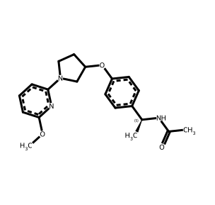 COc1cccc(N2CCC(Oc3ccc([C@H](C)NC(C)=O)cc3)C2)n1